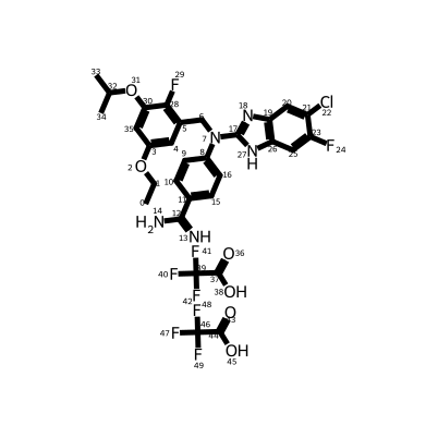 CCOc1cc(CN(c2ccc(C(=N)N)cc2)c2nc3cc(Cl)c(F)cc3[nH]2)c(F)c(OC(C)C)c1.O=C(O)C(F)(F)F.O=C(O)C(F)(F)F